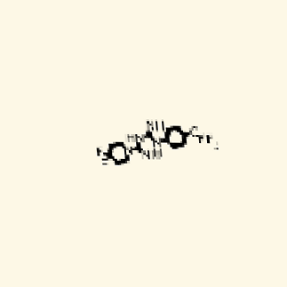 N=C(NC(=N)N1CCC(F)(F)CC1)Nc1ccc(OC(F)(F)F)cc1